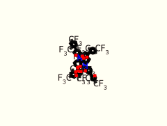 N#Cc1cccc(-n2c3ccc(-c4ccc(C(F)(F)F)cc4C(F)(F)F)cc3c3cc(-c4ccc(C(F)(F)F)cc4C(F)(F)F)ccc32)c1C1=CC(c2ccc(C(F)(F)F)cc2C(F)(F)F)C=CC=C1n1c2ccc(-c3ccc(C(F)(F)F)cc3C(F)(F)F)cc2c2cc(-c3ccc(C(F)(F)F)cc3C(F)(F)F)ccc21